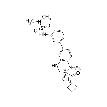 CC(=O)N1c2ccc(-c3cccc(NS(=O)(=O)N(C)C)c3)cc2NC[C@@]1(C)C(=O)C1CCC1